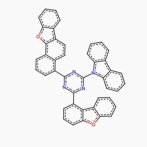 c1ccc2c(c1)oc1c3cccc(-c4nc(-c5cccc6oc7ccccc7c56)nc(-n5c6ccccc6c6ccccc65)n4)c3ccc21